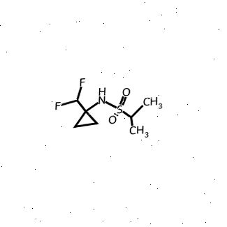 CC(C)S(=O)(=O)NC1(C(F)F)CC1